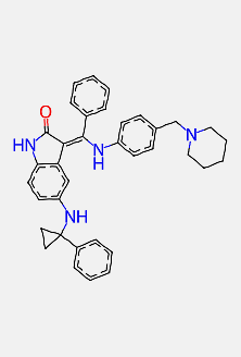 O=C1Nc2ccc(NC3(c4ccccc4)CC3)cc2C1=C(Nc1ccc(CN2CCCCC2)cc1)c1ccccc1